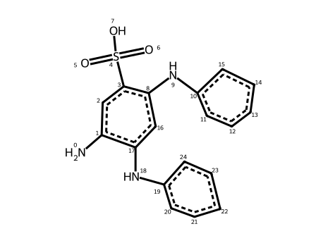 Nc1cc(S(=O)(=O)O)c(Nc2ccccc2)cc1Nc1ccccc1